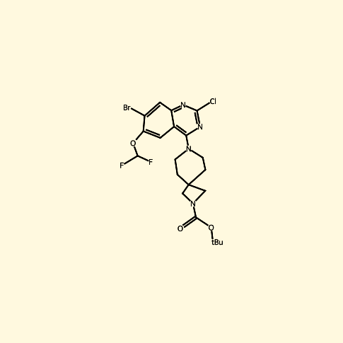 CC(C)(C)OC(=O)N1CC2(CCN(c3nc(Cl)nc4cc(Br)c(OC(F)F)cc34)CC2)C1